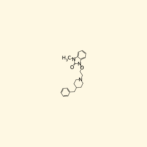 Cn1c(=O)n(OCCN2CCC(Cc3ccccc3)CC2)c2ccccc21